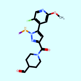 COc1cc(-c2cc(C(=O)N3CCC(C=O)CC3)nn2PI)c(F)cn1